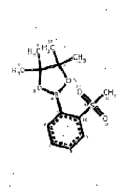 CC1(C)OB(c2ccccc2S(C)(=O)=O)OC1(C)C